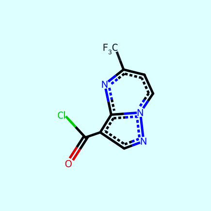 O=C(Cl)c1cnn2ccc(C(F)(F)F)nc12